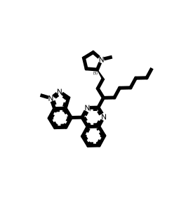 CCCCCCC(CC[C@H]1CCCN1C)c1nc(-c2cccc3c2cnn3C)c2ccccc2n1